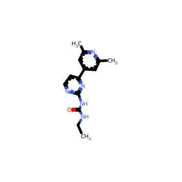 CCNC(=O)Nc1nccc(-c2cc(C)nc(C)c2)n1